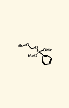 CCCCOCO[Si](OC)(OC)c1ccccc1